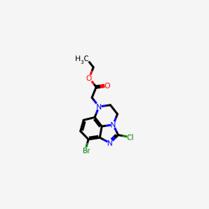 CCOC(=O)CN1CCn2c(Cl)nc3c(Br)ccc1c32